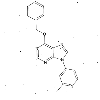 Cc1cc(-n2cnc3c(OCc4ccccc4)ncnc32)ccn1